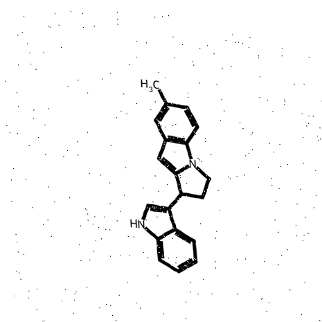 Cc1ccc2c(c1)cc1n2CCC1c1c[nH]c2ccccc12